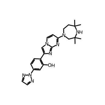 CC1(C)CCN(c2ccn3cc(-c4ccc(-n5nccn5)cc4O)nc3n2)CC(C)(C)N1